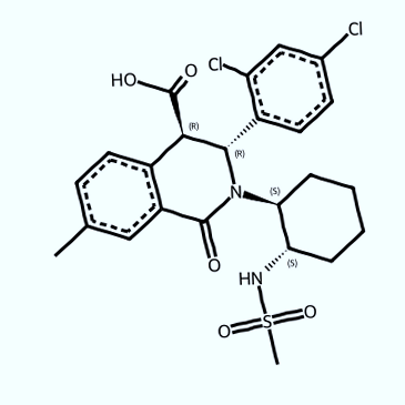 Cc1ccc2c(c1)C(=O)N([C@H]1CCCC[C@@H]1NS(C)(=O)=O)[C@@H](c1ccc(Cl)cc1Cl)[C@@H]2C(=O)O